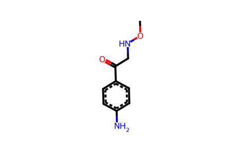 CONCC(=O)c1ccc(N)cc1